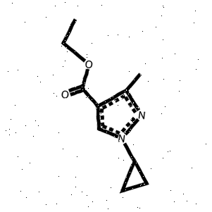 CCOC(=O)c1cn(C2CC2)nc1C